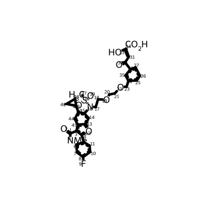 CNC(=O)c1c(-c2ccc(F)cc2)oc2cc(N(CCOCCOCc3cccc(C(=O)C=C(O)C(=O)O)c3)S(C)(=O)=O)c(C3CC3)cc12